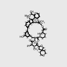 CCn1c(-c2cccnc2[C@H](C)OC)c2c3cc(ccc31)-c1cc(O)cc(c1)C[C@H](NC(=O)C(C(C)C)N(C)C(=O)C1CC3(CCOCC3)CO1)C(=O)N1CCC[C@H](N1)C(=O)OCC(C)(C)C2